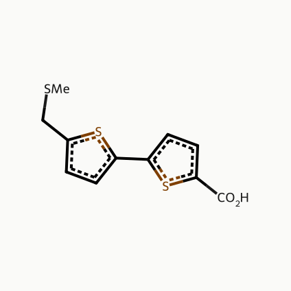 CSCc1ccc(-c2ccc(C(=O)O)s2)s1